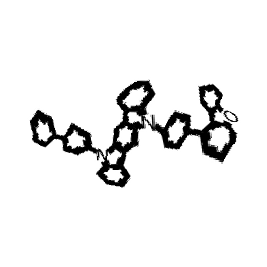 c1ccc(-c2ccc(-n3c4ccccc4c4cc5c(cc43)c3ccccc3n5-c3ccc(-c4cccc5oc6ccccc6c45)cc3)cc2)cc1